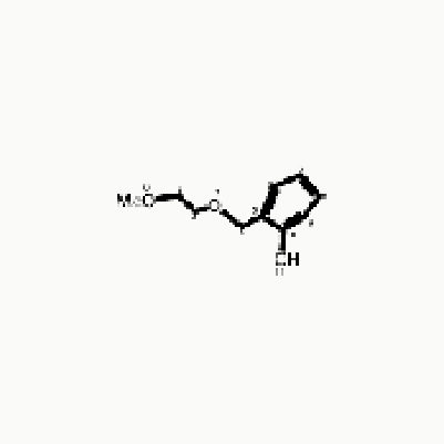 COCCOCc1ccccc1O